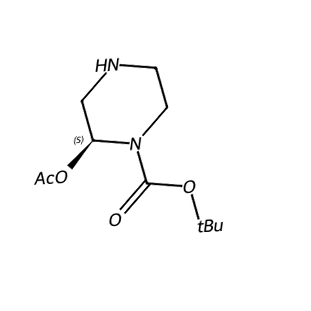 CC(=O)O[C@H]1CNCCN1C(=O)OC(C)(C)C